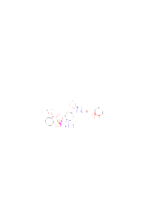 O=C(c1ccc(NS(=O)(=O)c2cccc3c2OCCO3)cc1)N1CC(O)(Cc2ccccc2)C1